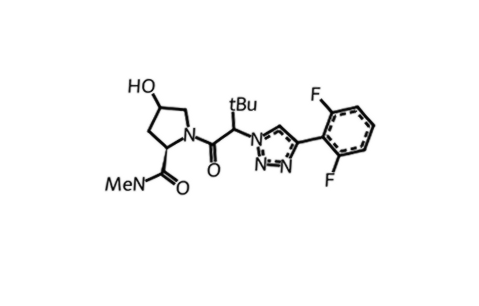 CNC(=O)[C@H]1CC(O)CN1C(=O)C(n1cc(-c2c(F)cccc2F)nn1)C(C)(C)C